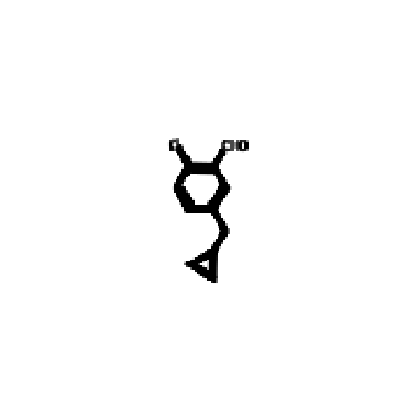 O=Cc1cc(CC2CC2)ccc1Cl